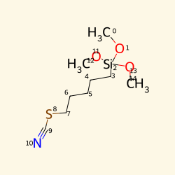 CO[Si](CCCCCSC#N)(OC)OC